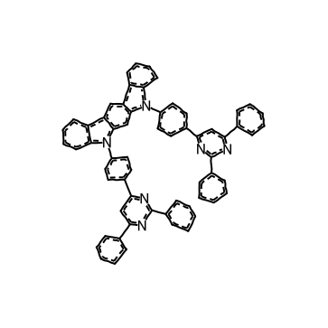 c1ccc(-c2cc(-c3ccc(-n4c5ccccc5c5cc6c7ccccc7n(-c7ccc(-c8cc(-c9ccccc9)nc(-c9ccccc9)n8)cc7)c6cc54)cc3)nc(-c3ccccc3)n2)cc1